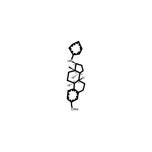 COc1ccc2c(c1)CC[C@@H]1[C@@H]2CC[C@]2(C)[C@@H](Nc3ccccc3)CC[C@@H]12